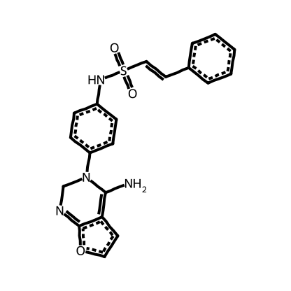 NC1=c2ccoc2=NCN1c1ccc(NS(=O)(=O)C=Cc2ccccc2)cc1